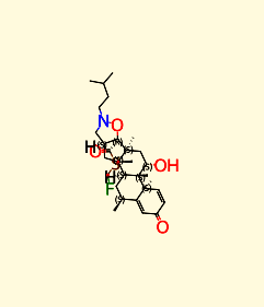 CC(C)CCN1C[C@@H]2C[C@@]3(C)[C@@H]4C[C@H](C)C5=CC(=O)C=C[C@]5(C)[C@@]4(C)[C@@H](O)C[C@]3(C)[C@]2(C(=O)SCF)O1